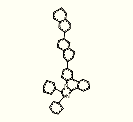 c1ccc(-c2nc3c4ccccc4c4cc(-c5ccc6cc(-c7ccc8ccccc8c7)ccc6c5)ccc4n3c2-c2ccccc2)cc1